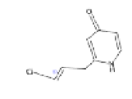 O=c1cc[nH]c(C/C=C/Cl)c1